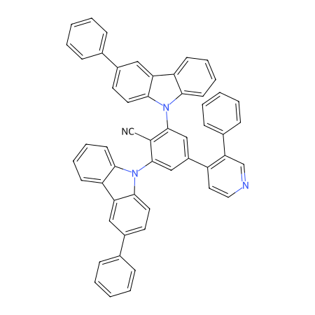 N#Cc1c(-n2c3ccccc3c3cc(-c4ccccc4)ccc32)cc(-c2ccncc2-c2ccccc2)cc1-n1c2ccccc2c2cc(-c3ccccc3)ccc21